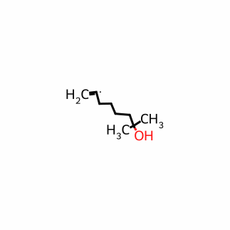 C=[C]CCCCC(C)(C)O